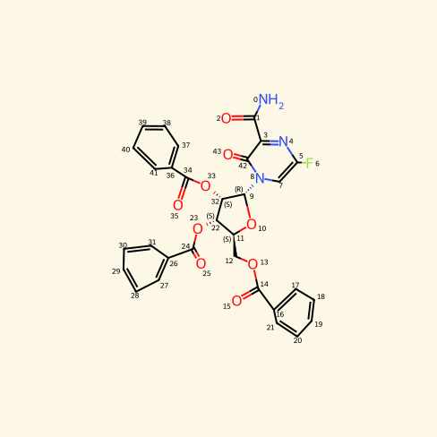 NC(=O)c1nc(F)cn([C@@H]2O[C@@H](COC(=O)c3ccccc3)[C@H](OC(=O)c3ccccc3)[C@@H]2OC(=O)c2ccccc2)c1=O